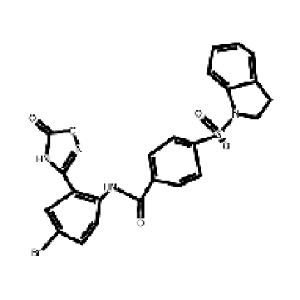 O=C(Nc1ccc(Br)cc1-c1noc(=O)[nH]1)c1ccc(S(=O)(=O)N2CCc3ccccc32)cc1